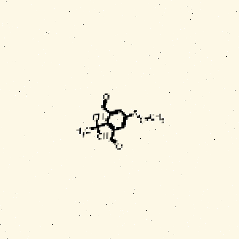 COSc1cc(C=O)c(C(C)(C)C)c(C=O)c1